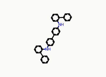 c1ccc(-c2ccccc2Nc2ccc(-c3ccc(Nc4ccccc4-c4ccccc4)cc3)cc2)cc1